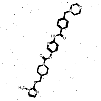 Cn1ccnc1SCC1CCN(C(=O)Oc2ccc(NC(=O)c3ccc(CN4CCOCC4)cc3)nc2)CC1